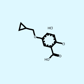 Cl.O=C(O)c1cc(OCC2CC2)ccc1Cl